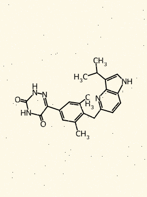 Cc1cc(-c2n[nH]c(=O)[nH]c2=O)cc(C)c1Cc1ccc2[nH]cc(C(C)C)c2n1